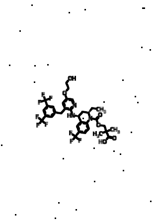 CC[C@@H]1C[C@H](Nc2ncc(OCCO)cc2Cc2cc(C(F)(F)F)cc(C(F)(F)F)c2)c2cc(C(F)(F)F)ccc2N1C(=O)OCC(C)(C)C(=O)O